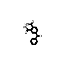 O=C(c1ccccc1)c1ccc2c(=O)[nH][nH]c(=O)c2c1